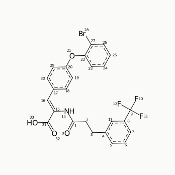 O=C(CCc1cccc(C(F)(F)F)c1)N/C(=C\c1ccc(Oc2ccccc2Br)cc1)C(=O)O